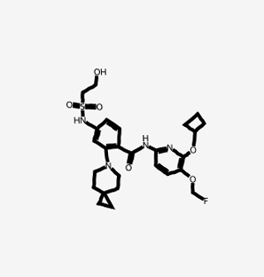 O=C(Nc1ccc(OCF)c(OC2CCC2)n1)c1ccc(NS(=O)(=O)CCO)cc1N1CCC2(CC1)CC2